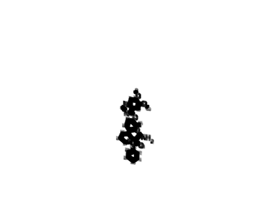 COc1cc2ncnc(Oc3ccc(C4CCCn5c4c(C(N)=O)c(=O)n5-c4ccccc4)cc3C)c2cc1OC